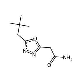 CC(C)(C)Cc1nnc(CC(N)=O)o1